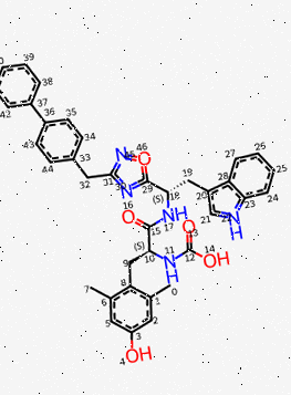 Cc1cc(O)cc(C)c1C[C@H](NC(=O)O)C(=O)N[C@@H](Cc1c[nH]c2ccccc12)c1nc(Cc2ccc(-c3ccccc3)cc2)no1